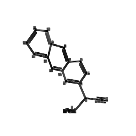 [C]#CC(CCCCC)c1ccc2cc3ccccc3cc2c1